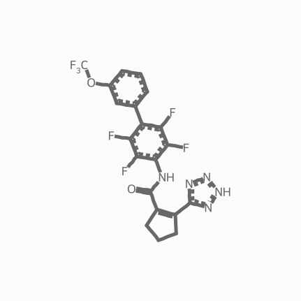 O=C(Nc1c(F)c(F)c(-c2cccc(OC(F)(F)F)c2)c(F)c1F)C1=C(c2nn[nH]n2)CCC1